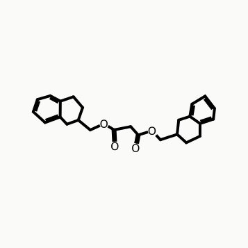 O=C(CC(=O)OCC1CCc2ccccc2C1)OCC1CCc2ccccc2C1